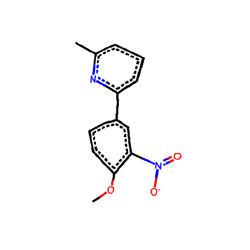 COc1ccc(-c2cccc(C)n2)cc1[N+](=O)[O-]